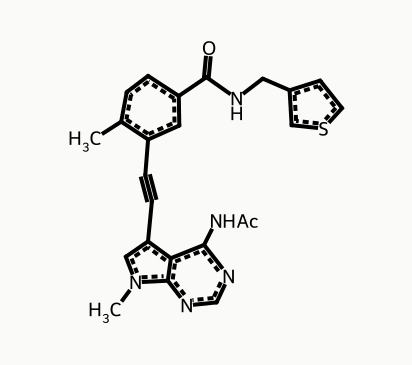 CC(=O)Nc1ncnc2c1c(C#Cc1cc(C(=O)NCc3ccsc3)ccc1C)cn2C